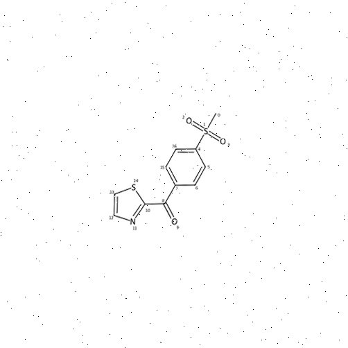 CS(=O)(=O)c1ccc(C(=O)c2nccs2)cc1